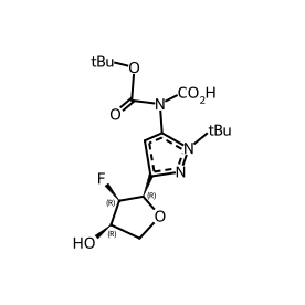 CC(C)(C)OC(=O)N(C(=O)O)c1cc([C@H]2OC[C@@H](O)[C@H]2F)nn1C(C)(C)C